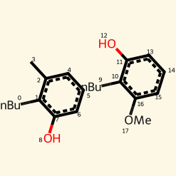 CCCCc1c(C)cccc1O.CCCCc1c(O)cccc1OC